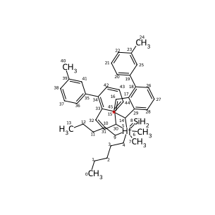 CCCC[CH2][Hf]([CH3])([CH3])(=[SiH2])([CH2]CCCC)([CH]1C=Cc2c(-c3cccc(C)c3)cccc21)[CH]1C=Cc2c(-c3cccc(C)c3)cccc21